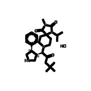 CC(C)N1C(=O)N(C)C(=O)C12CCN(C(C(=O)CC(C)(C)C)[C@@H]1CNC[C@@H]1c1ccccc1)CC2.Cl